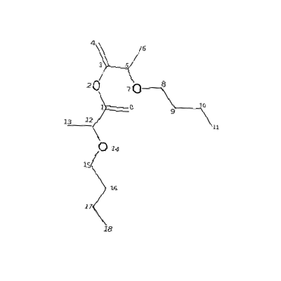 C=C(OC(=C)C(C)OCCCC)C(C)OCCCC